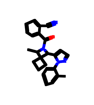 Cc1ccccc1-n1nccc1C1N(C(=O)c2ccccc2C#N)C(C)C12CCC2